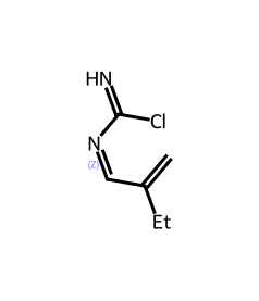 C=C(/C=N\C(=N)Cl)CC